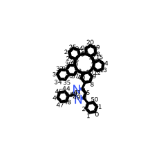 c1ccc(-c2cc(-c3ccc4c5ccccc5c5ccccc5c5ccccc5c5cc6ccccc6cc5c4c3)nc(-c3ccccc3)n2)cc1